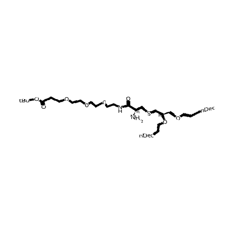 CCCCCCCCCCCCOC[C@H](CSC[C@H](N)C(=O)NCCOCCOCCOCCC(=O)OC(C)(C)C)OCCCCCCCCCCCC